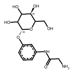 NCC(=O)Nc1cccc(O[C@H]2OC(CO)[C@H](O)C(O)C2O)c1